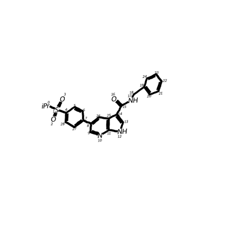 CC(C)S(=O)(=O)c1ccc(-c2cnc3[nH]cc(C(=O)NCc4ccccc4)c3c2)cc1